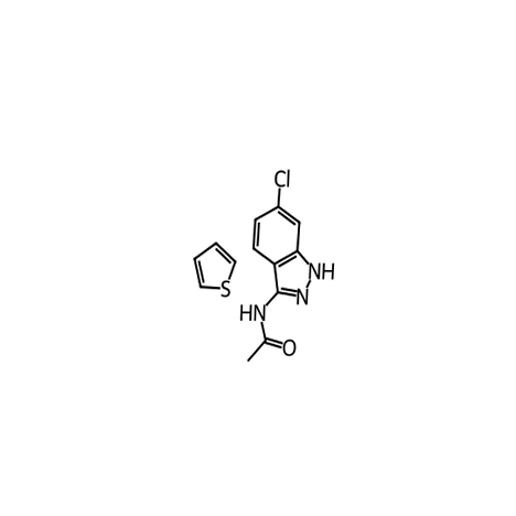 CC(=O)Nc1n[nH]c2cc(Cl)ccc12.c1ccsc1